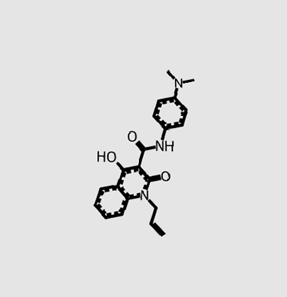 C=CCn1c(=O)c(C(=O)Nc2ccc(N(C)C)cc2)c(O)c2ccccc21